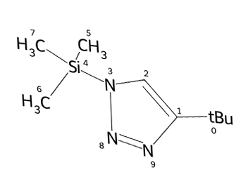 CC(C)(C)c1cn([Si](C)(C)C)nn1